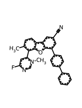 Cc1ccc2c(oc3c(-c4ccc(-c5ccccc5)cc4)cc(C#N)cc32)c1-c1cc(F)nc[n+]1C